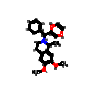 COc1cc2c(cc1OC)C(C)N(C(C1=CC=CCC1)C1=COC=CO1)CC2